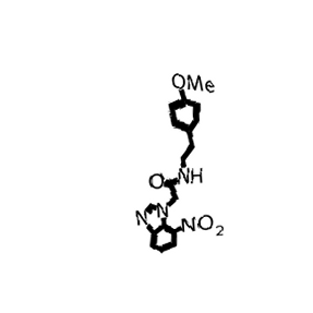 COc1ccc(CCNC(=O)Cn2cnc3cccc([N+](=O)[O-])c32)cc1